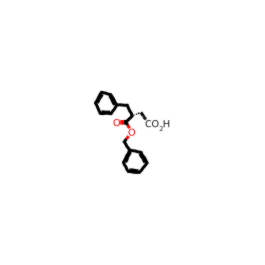 O=C(O)C[C@@H](Cc1ccccc1)C(=O)OCc1ccccc1